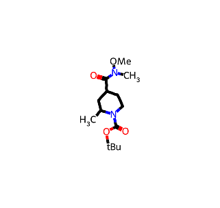 CON(C)C(=O)C1CCN(C(=O)OC(C)(C)C)C(C)C1